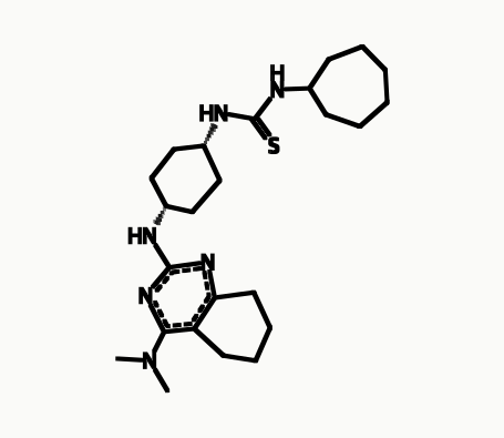 CN(C)c1nc(N[C@H]2CC[C@@H](NC(=S)NC3CCCCCC3)CC2)nc2c1CCCC2